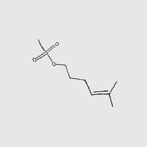 CC(C)=CCCCOS(C)(=O)=O